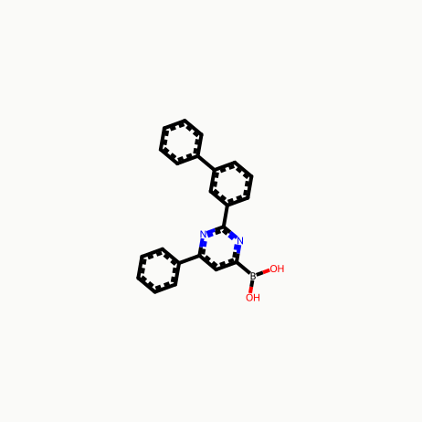 OB(O)c1cc(-c2ccccc2)nc(-c2cccc(-c3ccccc3)c2)n1